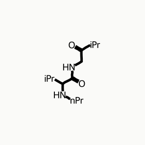 CCCNC(C(=O)NCC(=O)C(C)C)C(C)C